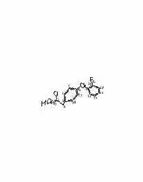 O/N=C(\Cl)Cc1ccc(Oc2ccccc2F)cc1